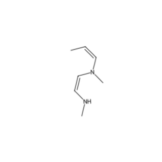 C/C=C\N(C)/C=C\NC